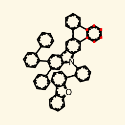 c1ccc(-c2ccccc2-c2cc3c4cc(-c5ccccc5-c5ccccc5)c(-c5ccccc5)cc4n(-c4ccccc4-c4cccc5c4oc4ccccc45)c3cc2-c2ccccc2)cc1